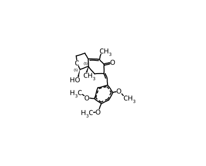 COc1cc(OC)c(OC)cc1C=C1C[C@@]2(C)C(=C(C)C1=O)CCC[C@@H]2O